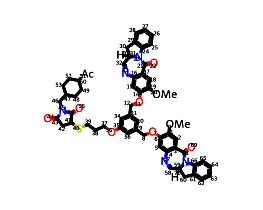 COc1cc2c(cc1OCc1cc(COc3cc4c(cc3OC)C(=O)N3c5ccccc5C[C@H]3C=N4)cc(OCCCSC3CC(=O)N(CC4CCC(C(C)=O)CC4)C3=O)c1)N=C[C@@H]1Cc3ccccc3N1C2=O